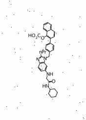 CCCc1nc2ccc(NCC(=O)NC3CCCCC3)cc2n1Cc1ccc(-c2ccc3ccccc3c2OC(=O)O)cc1